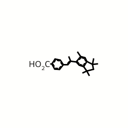 CC(=Cc1ccc(C(=O)O)cc1)c1cc2c(cc1C)C(C)(C)CC2(C)C